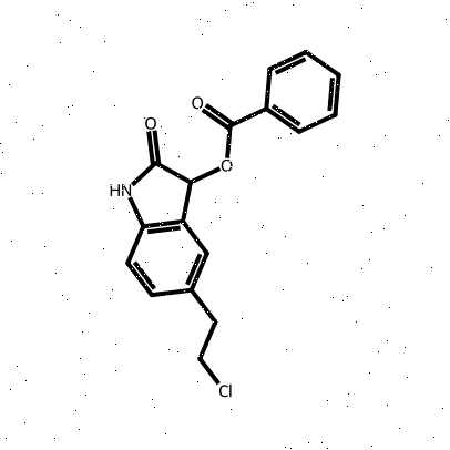 O=C(OC1C(=O)Nc2ccc(CCCl)cc21)c1ccccc1